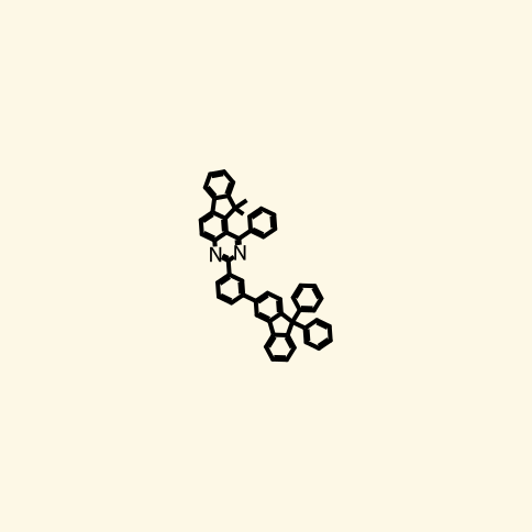 CC1(C)c2ccccc2-c2ccc3nc(-c4cccc(-c5ccc6c(c5)-c5ccccc5C6(c5ccccc5)c5ccccc5)c4)nc(-c4ccccc4)c3c21